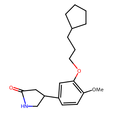 COc1ccc(C2CNC(=O)C2)cc1OCCCC1CCCC1